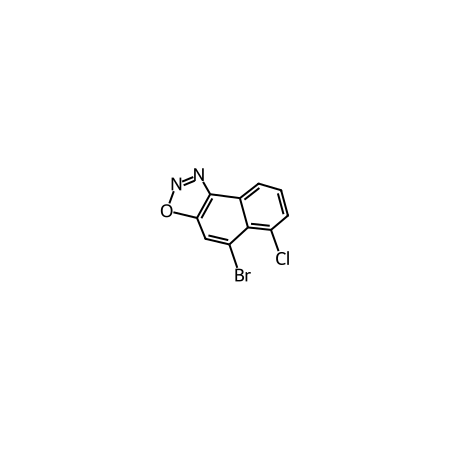 Clc1cccc2c1c(Br)cc1onnc12